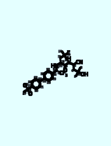 CC(C)(O)CC(C#N)NC(=O)[C@H](CC(C)(C)F)N[C@@H](c1ccc(-c2ccc(S(C)(=O)=O)cc2)cc1)C(F)(F)F